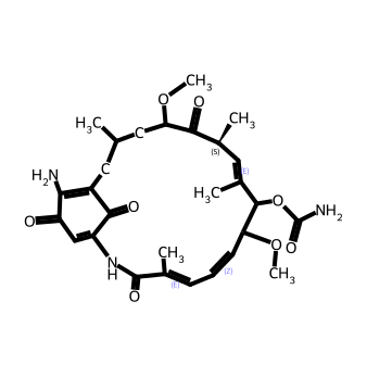 COC1CC(C)CC2=C(N)C(=O)C=C(NC(=O)/C(C)=C/C=C\C(OC)C(OC(N)=O)/C(C)=C/[C@H](C)C1=O)C2=O